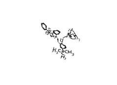 CN(C)CCOc1ccc(C(C)(C)C)cc1C=CC(=O)c1ccccc1NS(=O)(=O)c1ccccc1